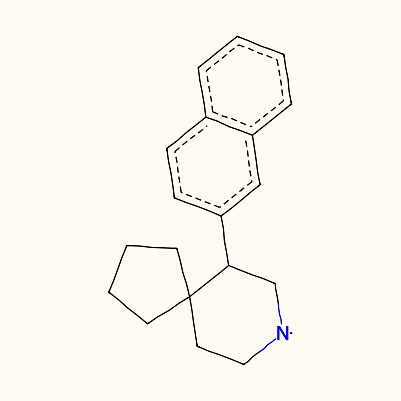 c1ccc2cc(C3C[N]CCC34CCCC4)ccc2c1